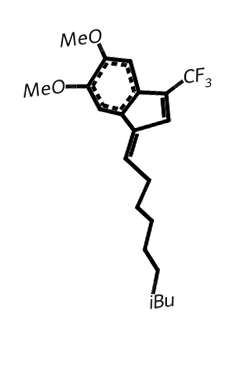 CCC(C)CCCCC/C=C1\C=C(C(F)(F)F)c2cc(OC)c(OC)cc21